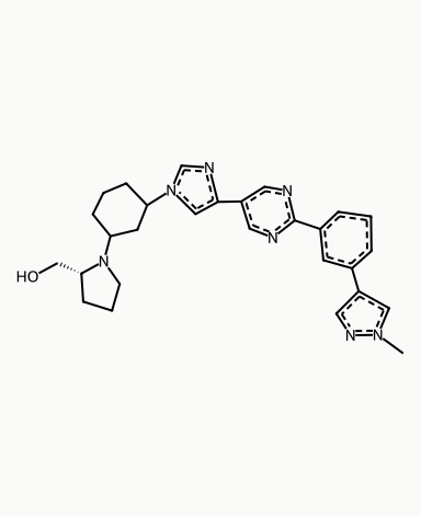 Cn1cc(-c2cccc(-c3ncc(-c4cn(C5CCCC(N6CCC[C@@H]6CO)C5)cn4)cn3)c2)cn1